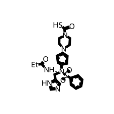 CCC(N)=O.O=C(S)N1CCN(c2ccc(N(Cc3cnc[nH]3)S(=O)(=O)c3ccccc3)cc2)CC1